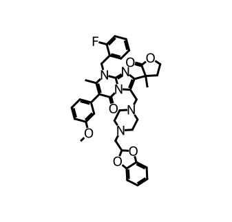 COc1cccc(-c2c(C)n(Cc3ccccc3F)c3nc(C4(C)CCOC4=O)c(CN4CCN(CC5Oc6ccccc6O5)CC4)n3c2=O)c1